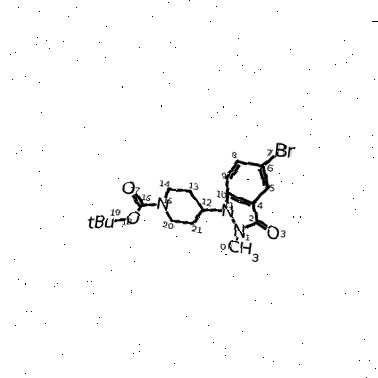 Cn1c(=O)c2cc(Br)ccc2n1C1CCN(C(=O)OC(C)(C)C)CC1